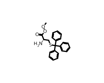 COOC(=O)[C@@H](N)CSC(c1ccccc1)(c1ccccc1)c1ccccc1